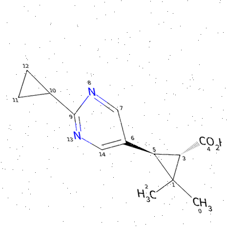 CC1(C)[C@@H](C(=O)O)[C@@H]1c1cnc(C2CC2)nc1